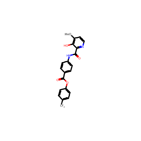 COc1ccnc(C(=O)Nc2ccc(C(=O)Oc3ccc(C(F)(F)F)cc3)cc2)c1O